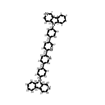 c1ccc2c(c1)c1cnccc1n2-c1ccc(-c2ccc(-c3ccc(-c4ccc(-n5c6ccccc6c6ccncc65)cc4)cn3)nc2)cc1